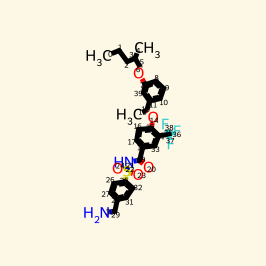 CCCC(C)COc1cccc(C(C)Oc2ccc(C(=O)NS(=O)(=O)c3ccc(CN)cc3)cc2C(F)(F)F)c1